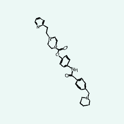 O=C(Nc1ccc(OC(=O)N2CCN(CCc3ccccn3)CC2)cc1)c1ccc(CN2CCCCC2)cc1